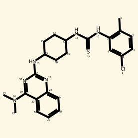 Cc1ccc(Cl)cc1NC(=S)NC1CCC(Nc2nc(N(C)C)c3ccccc3n2)CC1